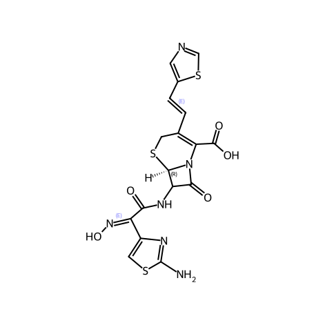 Nc1nc(/C(=N\O)C(=O)NC2C(=O)N3C(C(=O)O)=C(/C=C/c4cncs4)CS[C@H]23)cs1